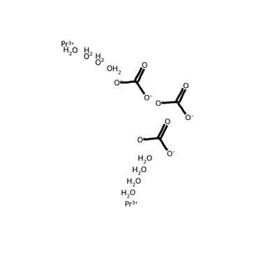 O.O.O.O.O.O.O.O.O=C([O-])[O-].O=C([O-])[O-].O=C([O-])[O-].[Pr+3].[Pr+3]